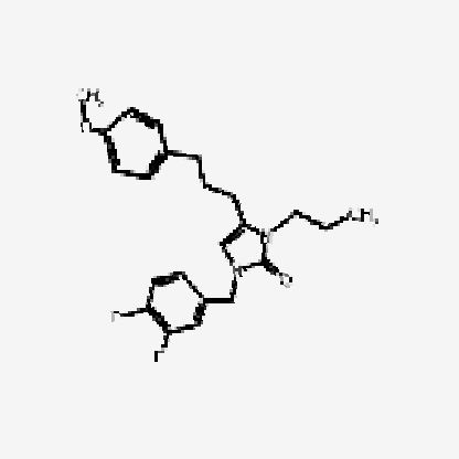 CCCn1c(CCCc2ccc(OC)cc2)cn(Cc2ccc(F)c(F)c2)c1=O